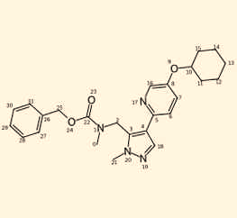 CN(Cc1c(-c2ccc(OC3CCCCC3)cn2)cnn1C)C(=O)OCc1ccccc1